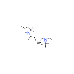 CC1CN(C(C)CC[C@@H]2CN(C(C)C)C(C)(C)C2)C(C)(C)C1